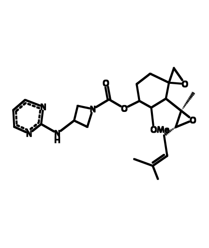 COC1C(OC(=O)N2CC(Nc3ncccn3)C2)CCC2(CO2)C1[C@@]1(C)O[C@@H]1CC=C(C)C